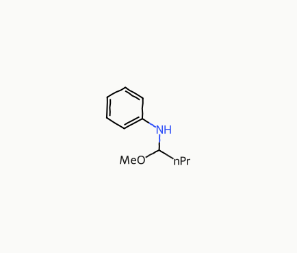 CCCC(Nc1ccccc1)OC